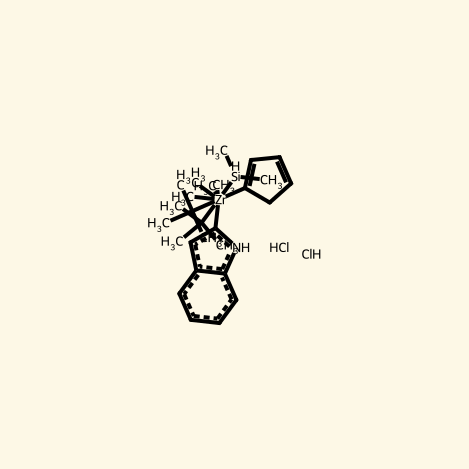 C[SiH](C)[Zr]([CH3])([CH3])([CH3])([CH3])([C]1=CC=CC1)([c]1cc2ccccc2[nH]1)([C](C)(C)C)[C](C)(C)C.Cl.Cl